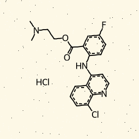 CN(C)CCOC(=O)c1cc(F)ccc1Nc1ccnc2c(Cl)cccc12.Cl